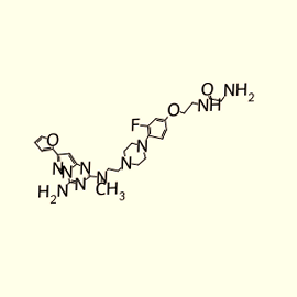 CN(CCN1CCN(c2ccc(OCCNC(=O)CN)cc2F)CC1)c1nc(N)n2nc(-c3ccco3)cc2n1